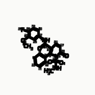 CNS(=O)(=O)n1c(-c2ccccc2)c(C(=O)Nc2ccc(F)c(OC)c2)ccc1=O